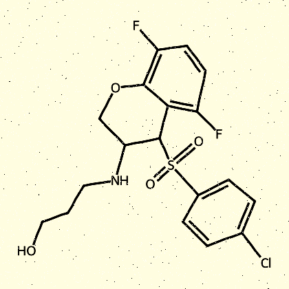 O=S(=O)(c1ccc(Cl)cc1)C1c2c(F)ccc(F)c2OCC1NCCCO